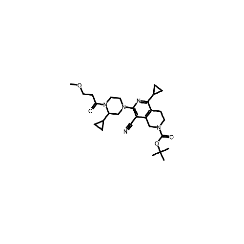 COCCC(=O)N1CCN(c2nc(C3CC3)c3c(c2C#N)CN(C(=O)OC(C)(C)C)CC3)CC1C1CC1